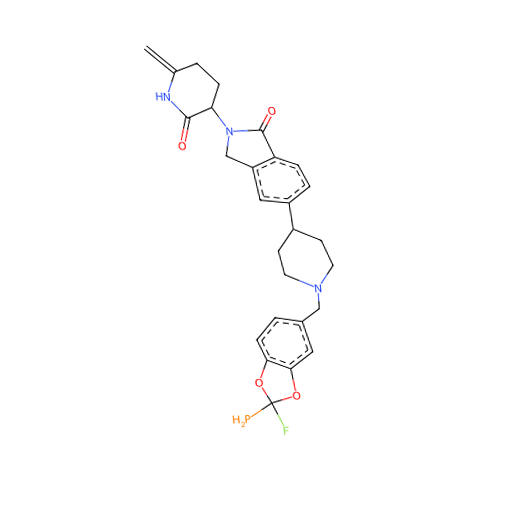 C=C1CCC(N2Cc3cc(C4CCN(Cc5ccc6c(c5)OC(F)(P)O6)CC4)ccc3C2=O)C(=O)N1